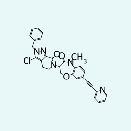 CN1C(=O)C(N2CCc3c(nn(Cc4ccccc4)c3Cl)C2=O)COc2cc(C#Cc3ccccn3)ccc21